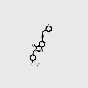 O=C(O)c1ccc(Cn2cnc3ccc(C#CCc4cccnc4)cc3c2=O)cc1